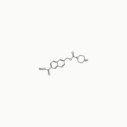 COC(=O)c1ccc2cc(COC(=O)N3CCNCC3)ccc2c1